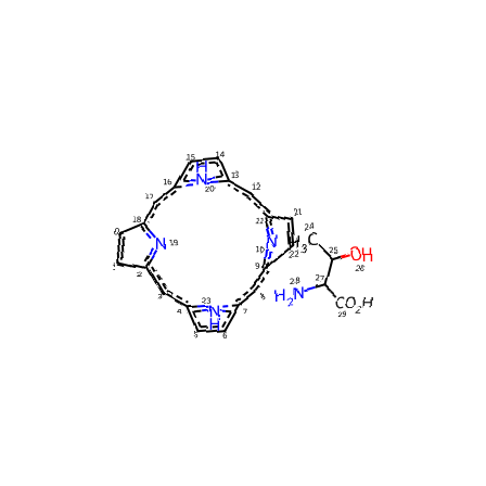 C1=Cc2cc3ccc(cc4nc(cc5ccc(cc1n2)[nH]5)C=C4)[nH]3.CC(O)C(N)C(=O)O